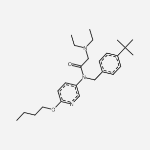 CCCCOc1ccc(N(Cc2ccc(C(C)(C)C)cc2)C(=O)CN(CC)CC)cn1